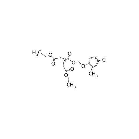 CCOC(=O)CN(CC(=O)OCC)C(=O)OCOc1ccc(Cl)cc1C